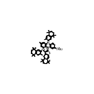 Cc1cc2c3c(c1)N(c1cc4c(cc1C)C(C)(C)CCC4(C)C)c1c(sc4cc5c(cc14)C(C)(C)CCC5(C)C)B3c1cc(C(C)(C)C)ccc1N2c1cc2c(cc1C)C(C)(C)CCC2(C)C